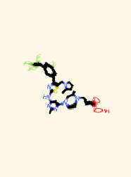 Cc1nc(Nc2nc(-c3cc(F)cc(C(F)(F)F)c3)c(CN3CCCC3C)s2)cc(N2CCN(CCC(=O)O)C(C)C2)n1